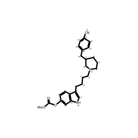 COC(=O)Oc1ccc2c(CCCCN3CCCC(Cc4ccc(C#N)cc4)C3)c[nH]c2c1